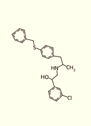 CC(Cc1ccc(SCc2ccccc2)cc1)NCC(O)c1cccc(Cl)c1